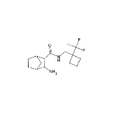 NC1C2CCC(C2)C1C(=O)NCC1(C(F)(F)F)CCC1